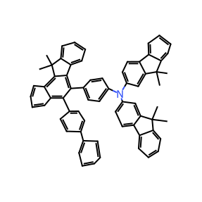 CC1(C)c2ccccc2-c2ccc(N(c3ccc(-c4c5c(c6ccccc6c4-c4ccc(-c6ccccc6)cc4)C(C)(C)c4ccccc4-5)cc3)c3ccc4c(c3)C(C)(C)c3ccccc3-4)cc21